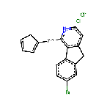 Brc1ccc2c(c1)Cc1ccn[c]([Zr+2][C]3=CC=CC3)c1-2.[Cl-].[Cl-]